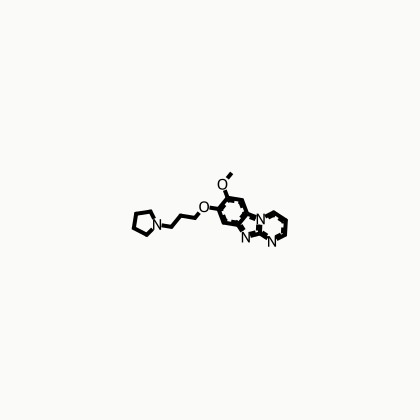 COc1cc2c(cc1OCCCN1CCCC1)nc1ncccn12